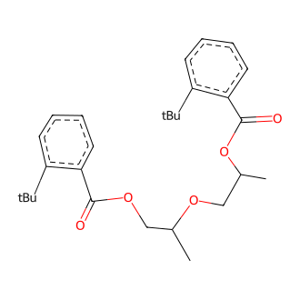 CC(COC(=O)c1ccccc1C(C)(C)C)OCC(C)OC(=O)c1ccccc1C(C)(C)C